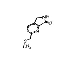 CSCc1ccc2c(n1)C(=O)NC2